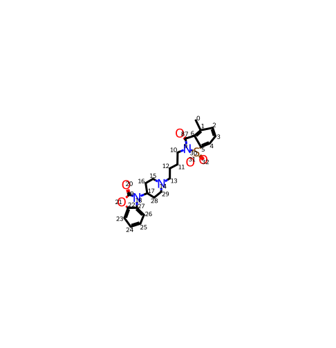 Cc1cccc2c1C(=O)N(CCCCN1CCC(n3c(=O)oc4ccccc43)CC1)S2(=O)=O